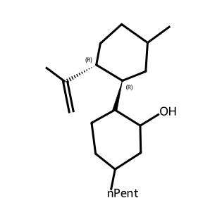 C=C(C)[C@@H]1CCC(C)C[C@H]1C1CCC(CCCCC)CC1O